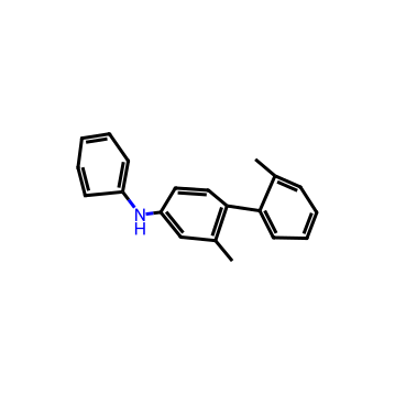 Cc1ccccc1-c1ccc(Nc2ccccc2)cc1C